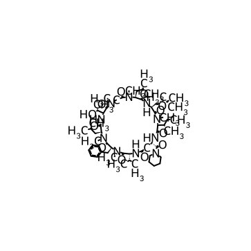 CC[C@H](C)[C@H]1C(=O)N[C@H](C(=O)N2CCCCC2)CC(=O)N[C@H](C(C)C)C(=O)N(C)[C@@H](Cc2ccccc2)C(=O)N(C)[C@@H](CC(C)C)C(=O)N[C@@H]([C@@H](C)O)C(=O)N(C)CC(=O)N(C)[C@@H](CC(C)C)C(=O)N[C@@H](COC(C)(C)C)C(=O)N1C